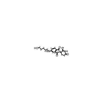 O=C1CCC(N2C(=O)c3ccc(NCCCCCO)cc3C2=O)C(=O)N1